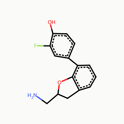 NCC1Cc2cccc(-c3ccc(O)c(F)c3)c2O1